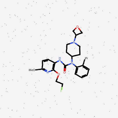 COc1ccc(NC(=O)N(c2ccccc2C(C)C)C2CCN(C3COC3)CC2)c(OCCF)n1